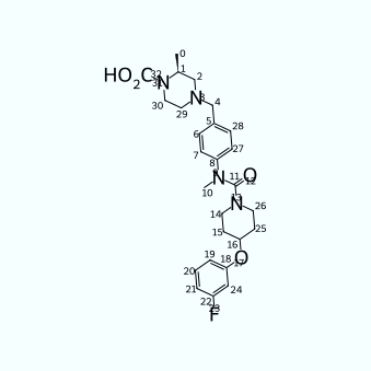 C[C@H]1CN(Cc2ccc(N(C)C(=O)N3CCC(Oc4cccc(F)c4)CC3)cc2)CCN1C(=O)O